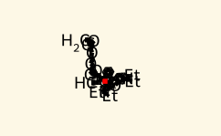 C#CCN(CCS(=O)(=O)CCOCCOCCS(=O)(=O)C=C)C(=O)c1ccccc1-c1c2ccc(=[N+](CC)CC)cc-2oc2cc(N(CC)CC)ccc12